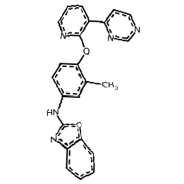 Cc1cc(Nc2nc3ccccc3o2)ccc1Oc1ncccc1-c1ccncn1